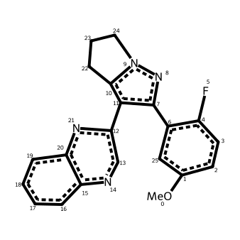 COc1ccc(F)c(-c2nn3c(c2-c2cnc4ccccc4n2)CCC3)c1